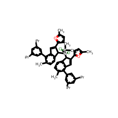 Cc1ccc(C2=Cc3c(ccc(C)c3-c3cc(C(C)C)cc(C(C)C)c3)[CH]2[Zr]([Cl])([Cl])([CH]2C(c3ccc(C)o3)=Cc3c2ccc(C)c3-c2cc(C(C)C)cc(C(C)C)c2)=[Si](C)C)o1